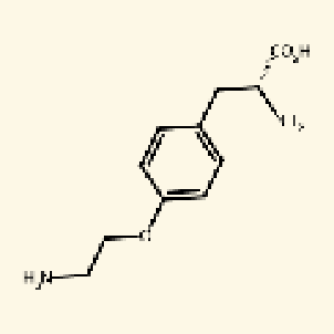 NCCOc1ccc(C[C@@H](N)C(=O)O)cc1